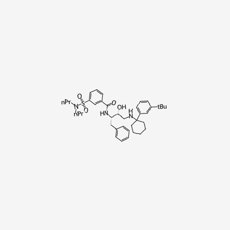 CCCN(CCC)S(=O)(=O)c1cccc(C(=O)N[C@@H](Cc2ccccc2)[C@H](O)CNC2(c3cccc(C(C)(C)C)c3)CCCCC2)c1